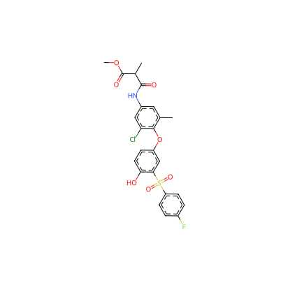 COC(=O)C(C)C(=O)Nc1cc(C)c(Oc2ccc(O)c(S(=O)(=O)c3ccc(F)cc3)c2)c(Cl)c1